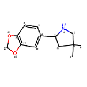 CC1(C)CNC(c2ccc3c(c2)OCO3)C1